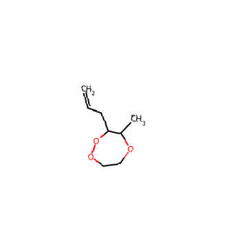 C=CCC1OOCCOC1C